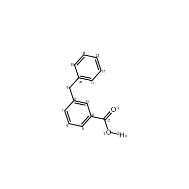 [2H]OC(=O)c1cccc(Cc2ccccc2)c1